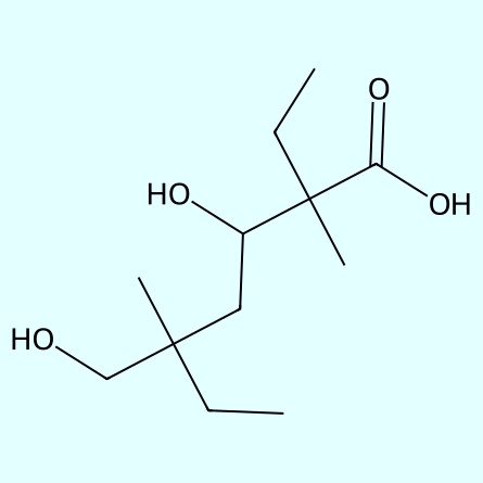 CCC(C)(CO)CC(O)C(C)(CC)C(=O)O